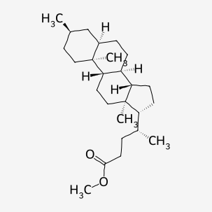 COC(=O)CC[C@@H](C)[C@H]1CC[C@H]2[C@@H]3CC[C@@H]4C[C@H](C)CC[C@]4(C)[C@H]3CC[C@]12C